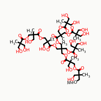 CCC(CO)(COC(=O)C(C)(CO)COC(=O)C(C)(CO)CO)C(=O)OCC(COC(=O)C(C)(CO)CO)(COC(=O)C(C)(CO)COC(=O)C(C)(CO)COC)COC(=O)C(C)(COC(=O)C(C)(CO)CO)COC(=O)C(C)(CO)CO